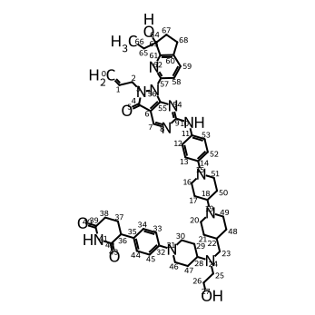 C=CCn1c(=O)c2cnc(Nc3ccc(N4CCC(N5CCC(CN(CCO)C6CCN(c7ccc(C8CCC(=O)NC8=O)cc7)CC6)CC5)CC4)cc3)nc2n1-c1ccc2c(n1)C(O)(CC)CC2